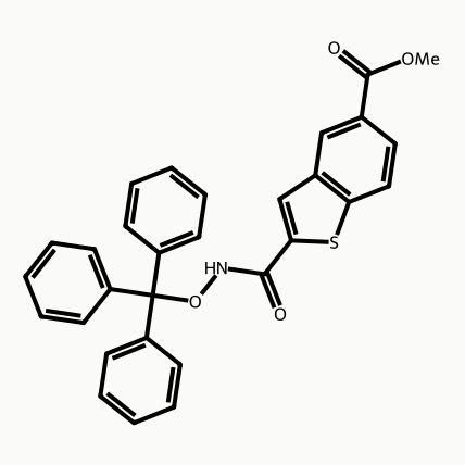 COC(=O)c1ccc2sc(C(=O)NOC(c3ccccc3)(c3ccccc3)c3ccccc3)cc2c1